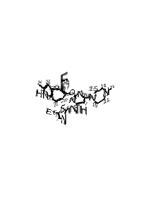 CCc1cnc(Nc2cc(N3CCN(C)CC3)nc(Oc3ccc4[nH]c(C)cc4c3F)n2)s1